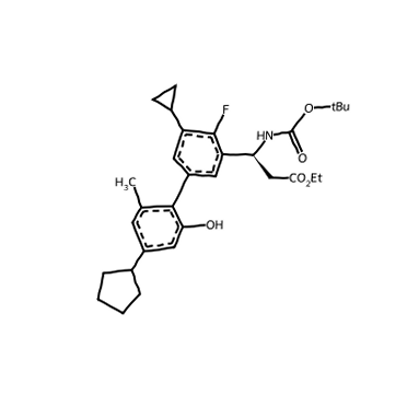 CCOC(=O)C[C@H](NC(=O)OC(C)(C)C)c1cc(-c2c(C)cc(C3CCCC3)cc2O)cc(C2CC2)c1F